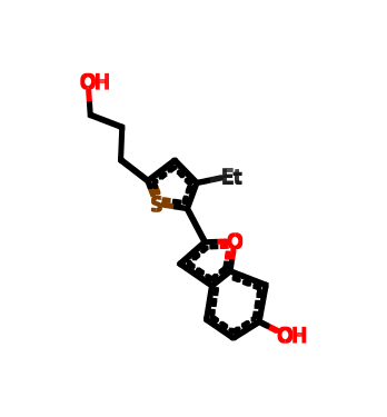 CCc1cc(CCCO)sc1-c1cc2ccc(O)cc2o1